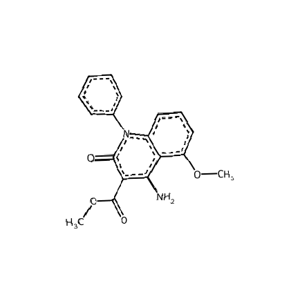 COC(=O)c1c(N)c2c(OC)cccc2n(-c2ccccc2)c1=O